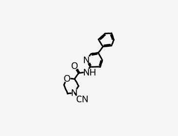 N#CN1CCOC(C(=O)Nc2ccc(-c3ccccc3)cn2)C1